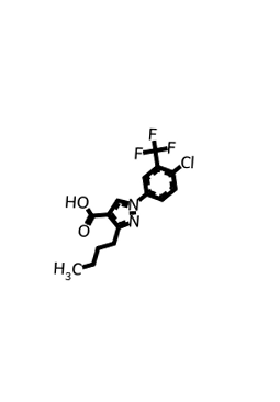 CCCCc1nn(-c2ccc(Cl)c(C(F)(F)F)c2)cc1C(=O)O